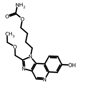 CCOCc1nc2cnc3cc(O)ccc3c2n1CCCCOC(N)=O